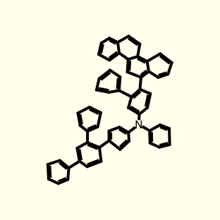 c1ccc(-c2ccc(-c3ccc(N(c4ccccc4)c4ccc(-c5cc6c7ccccc7ccc6c6ccccc56)c(-c5ccccc5)c4)cc3)c(-c3ccccc3)c2)cc1